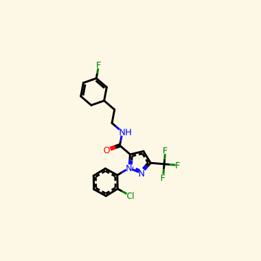 O=C(NCCC1C=C(F)C=CC1)c1cc(C(F)(F)F)nn1-c1ccccc1Cl